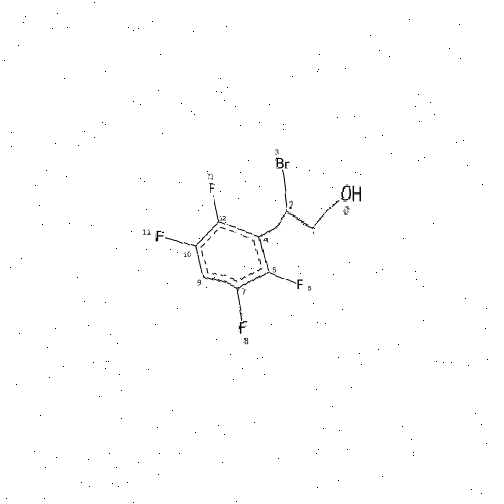 OCC(Br)c1c(F)c(F)cc(F)c1F